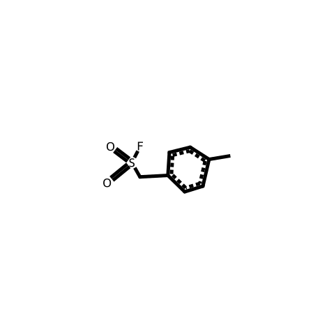 Cc1ccc(CS(=O)(=O)F)cc1